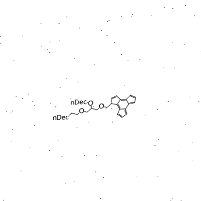 CCCCCCCCCCCCOCC(COCC1C=Cc2c1c1c(c3c2C=CC=3)=CC=C1)OCCCCCCCCCC